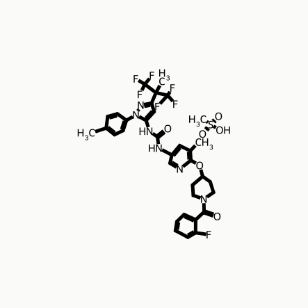 CS(=O)(=O)O.Cc1ccc(-n2nc(C(C)(C(F)(F)F)C(F)(F)F)cc2NC(=O)Nc2cnc(OC3CCN(C(=O)c4ccccc4F)CC3)c(C)c2)cc1